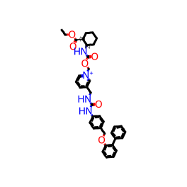 CCOC(=O)[C@H]1CCCC[C@H]1NC(=O)OC[n+]1cccc(CNC(=O)Nc2ccc(COc3ccccc3-c3ccccc3)cc2)c1